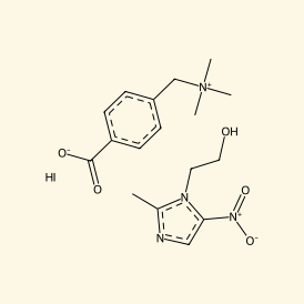 C[N+](C)(C)Cc1ccc(C(=O)[O-])cc1.Cc1ncc([N+](=O)[O-])n1CCO.I